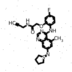 C#CCNC(=O)COc1cc(F)ccc1Nc1ncnc2cc(N=S3CCCC3)cc(C)c12